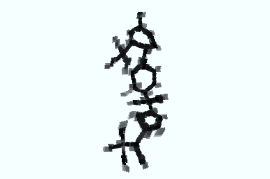 C[C@@H]1CN(c2ccc(F)cc2C(F)(F)F)CCN1S(=O)(=O)c1ccc(C(=O)C(F)(F)F)s1